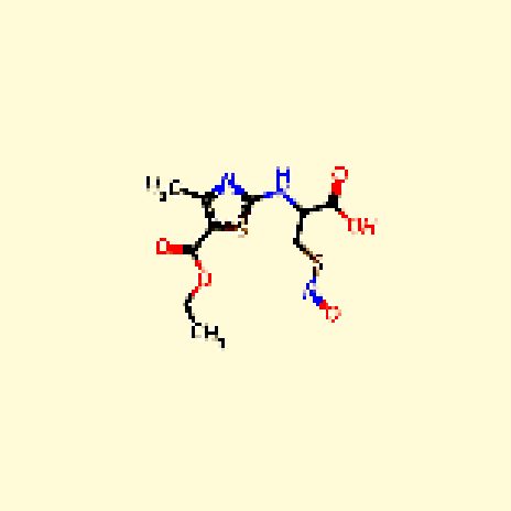 CCOC(=O)c1sc(NC(CSN=O)C(=O)O)nc1C